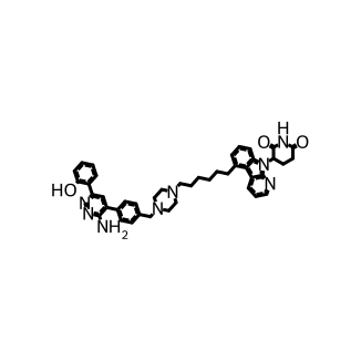 Nc1nnc(-c2ccccc2O)cc1-c1ccc(CN2CCN(CCCCCCc3cccc4c3c3cccnc3n4C3CCC(=O)NC3=O)CC2)cc1